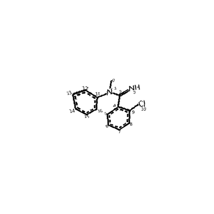 CN(C(=N)c1ccccc1Cl)c1ccccc1